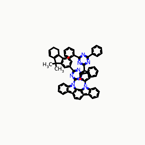 CC1(C)C2=C(CCC=C2)c2ccc(-c3nc(-c4ccccc4)nc(-n4c5ccccc5c5ccc6c7ccccc7n(-c7ccc(-c8nc(-c9ccccc9)nc(-c9ccccc9)n8)cc7)c6c54)n3)cc21